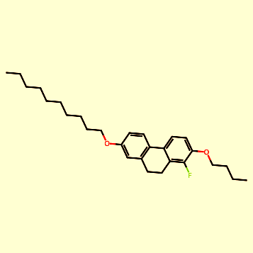 CCCCCCCCCCOc1ccc2c(c1)CCc1c-2ccc(OCCCC)c1F